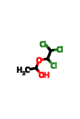 CC(O)OC(Cl)C(Cl)Cl